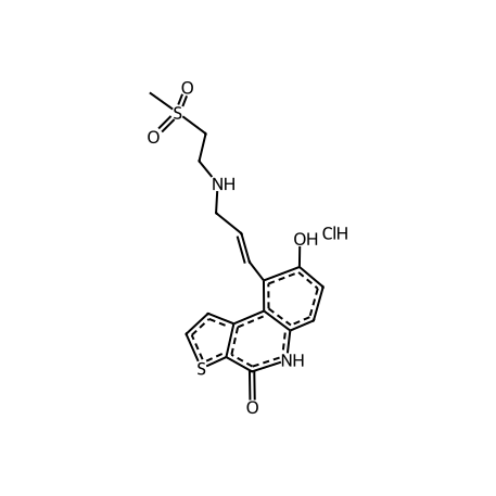 CS(=O)(=O)CCNCC=Cc1c(O)ccc2[nH]c(=O)c3sccc3c12.Cl